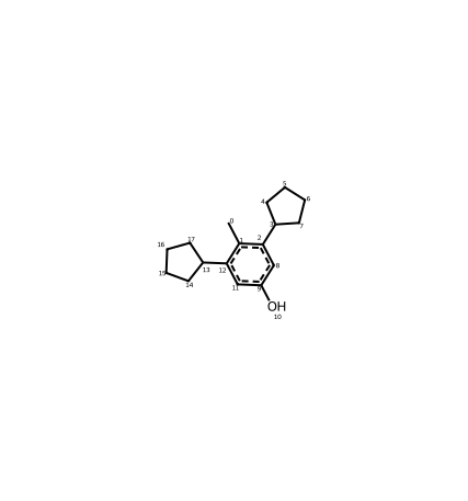 Cc1c(C2CCCC2)cc(O)cc1C1CCCC1